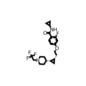 O=C(NC1CC1)c1ccc(OCC[C@@H]2C[C@@H]2C2CCN(CC(F)(F)F)CC2)cc1F